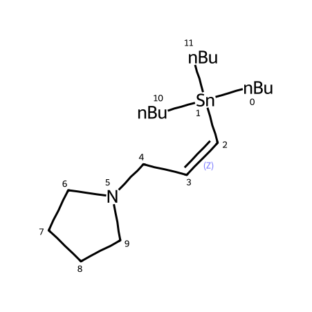 CCC[CH2][Sn](/[CH]=C\CN1CCCC1)([CH2]CCC)[CH2]CCC